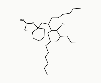 CCCCCCCCC(C(CCCCCC)CC1(OP(O)O)CCCCC1)C(O)C(O)CCC